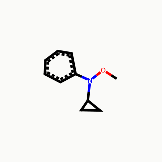 CON(c1ccccc1)C1CC1